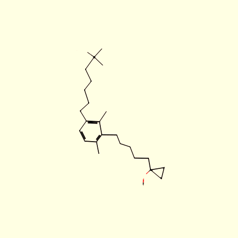 Cc1ccc(CCCCCC(C)(C)C(=O)O)c(C)c1CCCCCC1(OC=O)CC1